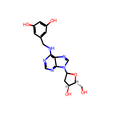 OC[C@H]1OC(n2cnc3c(NCc4cc(O)cc(O)c4)ncnc32)C[C@@H]1O